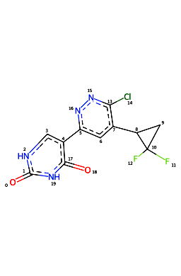 O=c1[nH]cc(-c2cc(C3CC3(F)F)c(Cl)nn2)c(=O)[nH]1